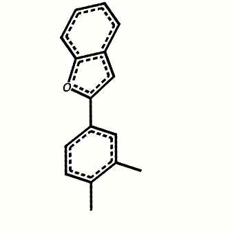 Cc1ccc(-c2cc3ccccc3o2)cc1C